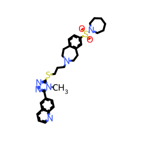 Cn1c(SCCCN2CCc3ccc(S(=O)(=O)N4CCCCCC4)cc3CC2)nnc1-c1ccc2ncccc2c1